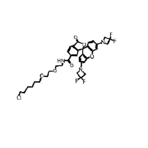 O=C(NCCOCCOCCCCCCCl)c1ccc2c(c1)C1(OC2=O)c2ccc(N3CC(F)(F)C3)cc2Oc2cc(N3CC(F)(F)C3)ccc21